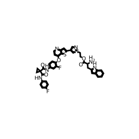 NC(Cc1cc2ccccc2[nH]1)C(=O)OCCn1cc(-c2cc3nccc(Oc4ccc(NC(=O)C5(C(=O)Nc6ccc(F)cc6)CC5)cc4F)c3s2)cn1